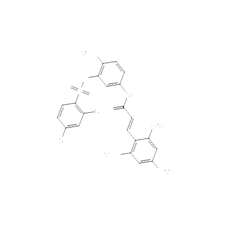 COc1cc(OC)c(/C=C/C(=O)Nc2ccc(OC)c(OS(=O)(=O)c3ccc([N+](=O)[O-])cc3[N+](=O)[O-])c2)c(OC)c1